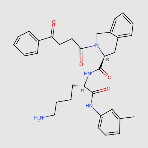 Cc1cccc(NC(=O)[C@H](CCCCN)NC(=O)[C@@H]2Cc3ccccc3CN2C(=O)CCC(=O)c2ccccc2)c1